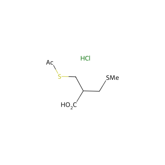 CSCC(CSC(C)=O)C(=O)O.Cl